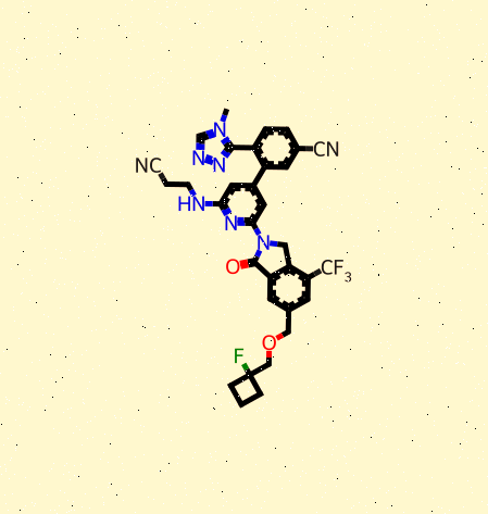 Cn1cnnc1-c1ccc(C#N)cc1-c1cc(NCCC#N)nc(N2Cc3c(cc(COCC4(F)CCC4)cc3C(F)(F)F)C2=O)c1